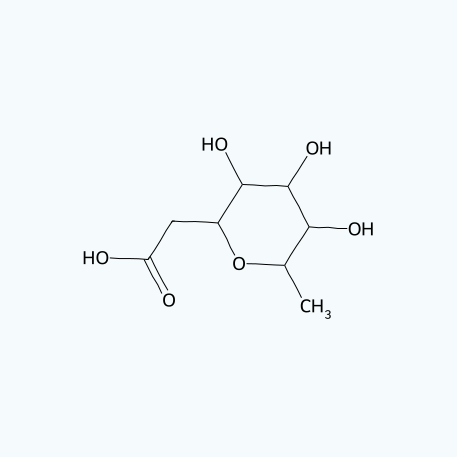 CC1OC(CC(=O)O)C(O)C(O)C1O